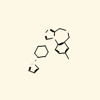 Clc1ccc2c(c1)CNCc1nnc([C@H]3CC[C@H](n4cccn4)CC3)n1-2